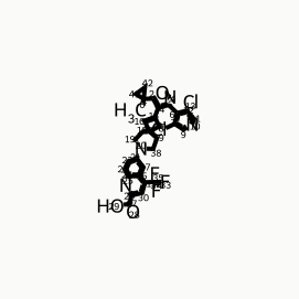 CC1(c2onc(-c3c(Cl)cncc3Cl)c2C2=CC3(CCN(c4ccc5nc(C(=O)O)cc(C(F)(F)F)c5c4)CC3)C2)CC1